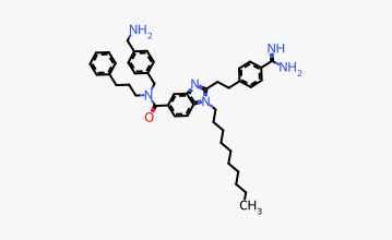 CCCCCCCCCCn1c(CCc2ccc(C(=N)N)cc2)nc2cc(C(=O)N(CCCc3ccccc3)Cc3ccc(CN)cc3)ccc21